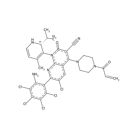 C=CC(=O)N1CCN(c2c(C#N)c(=O)n(C3=C(C)C=CN[C@@H]3C(C)C)c3nc(-c4c(N)c(Cl)c(Cl)c(Cl)c4Cl)c(Cl)cc23)CC1